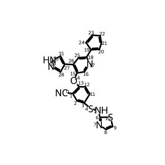 N#Cc1cc(SNc2nccs2)ccc1Oc1cnc(-c2ccccc2)cc1-c1cn[nH]c1